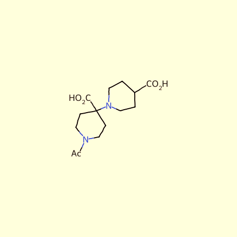 CC(=O)N1CCC(C(=O)O)(N2CCC(C(=O)O)CC2)CC1